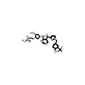 NS(=O)(=O)OC[C@H]1C[C@@H](Nc2ncncc2C(=O)c2ccn(Cc3ccc(Cl)c(C(F)(F)F)c3)n2)C[C@@H]1O